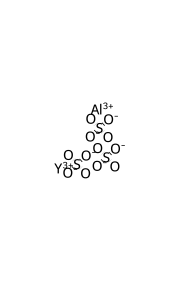 O=S(=O)([O-])[O-].O=S(=O)([O-])[O-].O=S(=O)([O-])[O-].[Al+3].[Y+3]